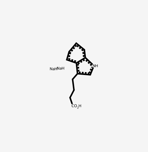 O=C(O)CCCc1c[nH]c2ccccc12.[NaH].[NaH]